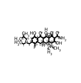 CCN(Cc1cc(O)c2c(c1F)C[C@H]1C[C@H]3[C@H](N(C)C)C(O)=C(C(N)=O)C(=O)[C@@]3(O)C(O)=C1C2=O)CC(C)C